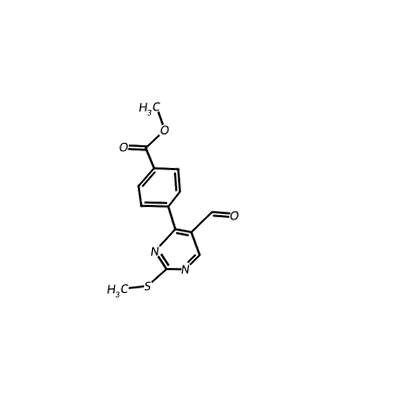 COC(=O)c1ccc(-c2nc(SC)ncc2C=O)cc1